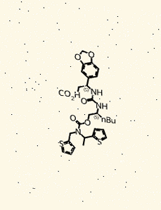 CCCC[C@@H](COC(=O)N(Cc1cccs1)C(C)c1cccs1)NC(=O)N[C@@H](CC(=O)O)c1ccc2c(c1)OCO2